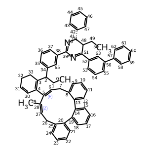 CCC(C1=C(C2=C/Cc3ccccc3-c3ccccc3-c3ccccc3C/C=C\2C)C=CCC1)c1cccc(C2=N[C@H](c3ccccc3)C(CC)C(c3cccc(-c4ccccc4)c3)=N2)c1